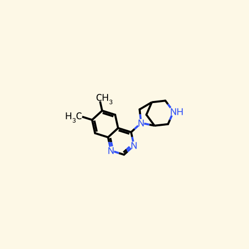 Cc1cc2ncnc(N3CC4CNCC3C4)c2cc1C